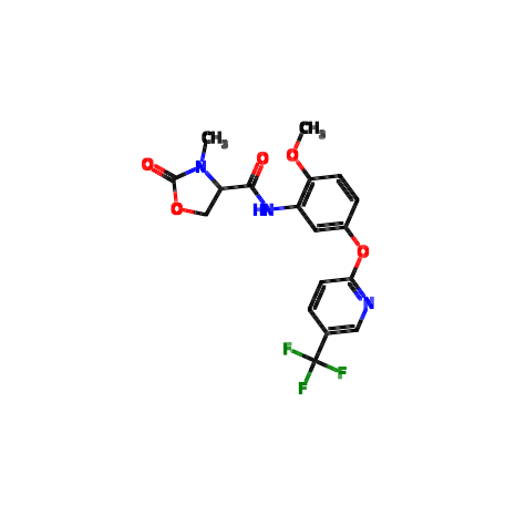 COc1ccc(Oc2ccc(C(F)(F)F)cn2)cc1NC(=O)C1COC(=O)N1C